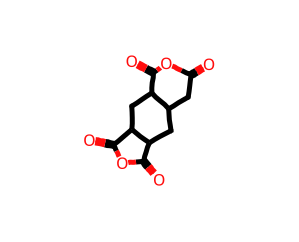 O=C1CC2CC3C(=O)OC(=O)C3CC2C(=O)O1